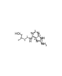 CC(CO)CCNc1ncnc2[nH]c(N)nc12